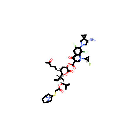 C=C[C@@](C)(C[C@H](OC(=O)CSC1CC2CCC(C1)N2C)C(=C)C)[C@@H]1OC(=O)C(OC(=O)c2cn(C3C[C@@H]3F)c3c(Cl)c(N4C[C@@H](N)C5(CC5)C4)c(F)cc3c2=O)C[C@H]1CCCC(C)=O